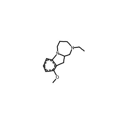 CCN1CCCN2c3cccc(OC)c3CC2C1